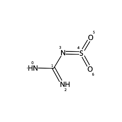 [NH]C(=N)N=S(=O)=O